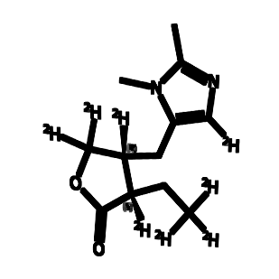 [2H]c1nc(C)n(C)c1C[C@@]1([2H])C([2H])([2H])OC(=O)[C@@]1([2H])CC([2H])([2H])[2H]